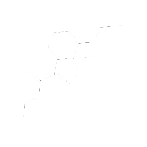 CCOC(=O)C1=NOC2(O)C(OCC)=CCCC12